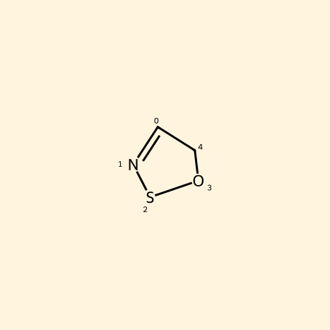 C1=NSOC1